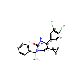 C[C@H](c1ccccc1)N1C=C(C2CC2)C(c2ccc(F)c(F)c2)NC1=O